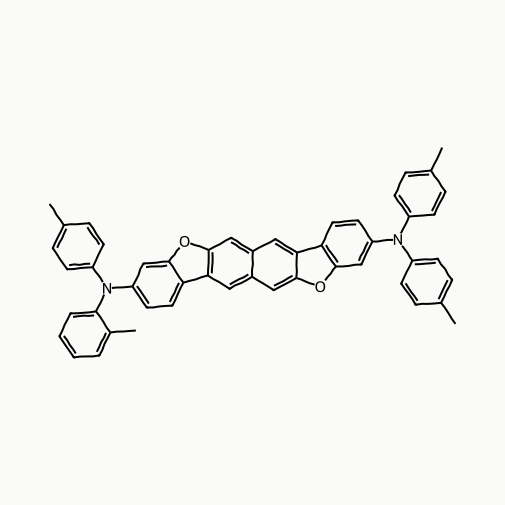 Cc1ccc(N(c2ccc(C)cc2)c2ccc3c(c2)oc2cc4cc5c(cc4cc23)oc2cc(N(c3ccc(C)cc3)c3ccccc3C)ccc25)cc1